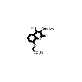 CCCCCCOc1c(O)c2cccc(OCC(=O)OCC)c2oc1=O